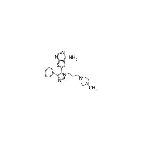 CN1CCN(CCCn2cnc(-c3ccccc3)c2-c2cc3c(N)ncnc3s2)CC1